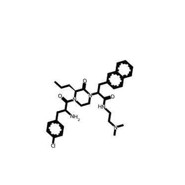 CCC[C@H]1C(=O)N(C(Cc2ccc3ccccc3c2)C(=O)NCCN(C)C)CCN1C(=O)C(N)Cc1ccc(Cl)cc1